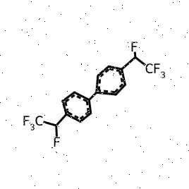 FC(c1ccc(-c2ccc(C(F)C(F)(F)F)cc2)cc1)C(F)(F)F